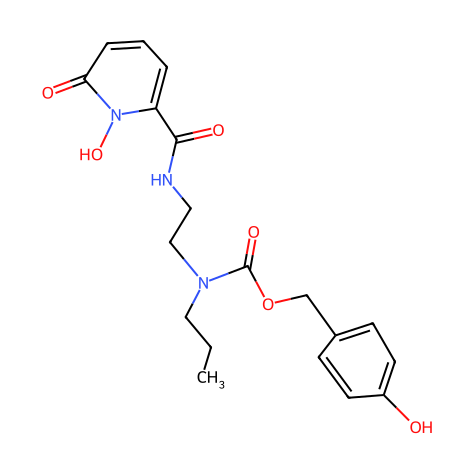 CCCN(CCNC(=O)c1cccc(=O)n1O)C(=O)OCc1ccc(O)cc1